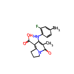 Bc1ccc(Nc2c(C(=O)O)c3n(c(=O)c2C)CCC3)c(F)c1